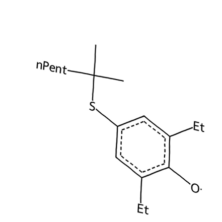 CCCCCC(C)(C)Sc1cc(CC)c([O])c(CC)c1